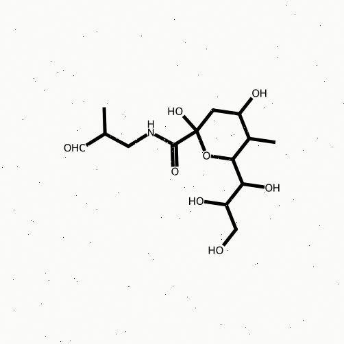 CC(C=O)CNC(=O)C1(O)CC(O)C(C)C(C(O)C(O)CO)O1